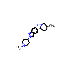 C[C@H]1CC[C@H](c2ccc3nn(C4CCN(C)CC4)cc3c2)NC1